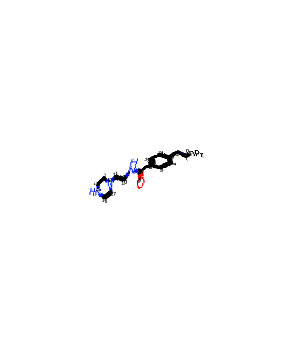 CCC/C=C/c1ccc(C(=O)NCCN2CCNCC2)cc1